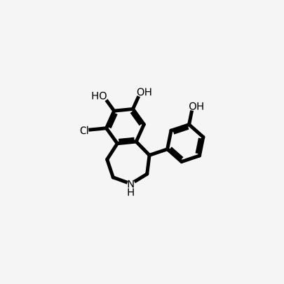 Oc1cccc(C2CNCCc3c2cc(O)c(O)c3Cl)c1